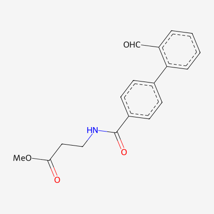 COC(=O)CCNC(=O)c1ccc(-c2ccccc2C=O)cc1